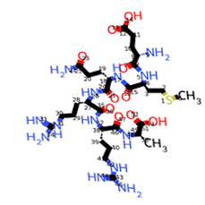 CSCC[C@H](NC(=O)[C@@H](N)CCC(=O)O)C(=O)N[C@@H](CCC(N)=O)C(=O)N[C@@H](CCCNC(=N)N)C(=O)N[C@@H](CCCNC(=N)N)C(=O)N[C@@H](C)C(=O)O